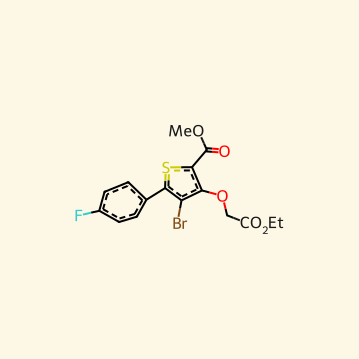 CCOC(=O)COc1c(C(=O)OC)sc(-c2ccc(F)cc2)c1Br